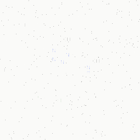 CNCCC(c1ccc(Cl)c(Cl)c1)n1nnc(C)n1